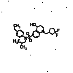 CCc1ccc(N(CC(C)C)S(=O)(=O)c2ccc3c(c2)C(O)CCN3CC2CCC(F)(F)C2)cc1